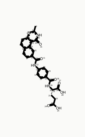 Cc1nc2ccc3ccc(C(=O)Nc4ccc(C(=O)N[C@@H](CCC(=O)O)C(=O)O)cc4)cc3c2c(=O)[nH]1